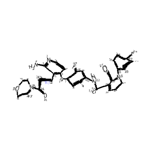 Nc1nccc(Oc2ccc(NC(=O)c3cccn(-c4ccc(F)cc4)c3=O)cc2F)c1/C=C/C(=O)N1CCOCC1